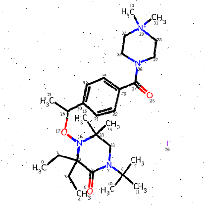 CCC1(CC)C(=O)N(C(C)(C)C)CC(C)(C)N1OC(C)c1ccc(C(=O)N2CC[N+](C)(C)CC2)cc1.[I-]